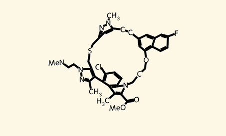 CNCCn1nc(C)c2c1CSCc1cc(n(C)n1)CCc1cc(c3ccc(F)cc3c1)OCCCn1c(C(=O)OC)c(C)c3c-2c(Cl)ccc31